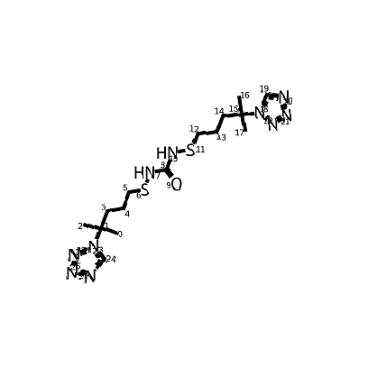 CC(C)(CCCSNC(=O)NSCCCC(C)(C)n1cnnn1)n1cnnn1